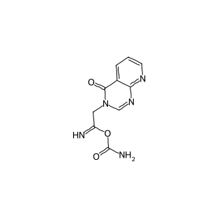 N=C(Cn1cnc2ncccc2c1=O)OC(N)=O